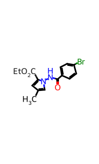 CCOC(=O)c1cc(C)cn1NC(=O)c1ccc(Br)cc1